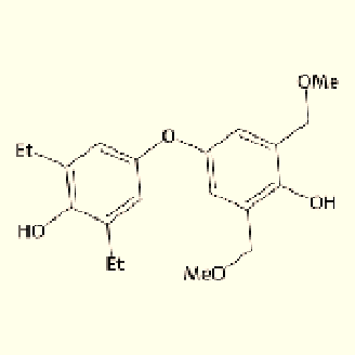 CCc1cc(Oc2cc(COC)c(O)c(COC)c2)cc(CC)c1O